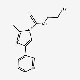 Cc1nc(-c2cccnc2)cn1C(=O)NCCC(C)C